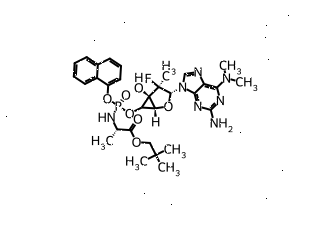 C[C@H](NP(=O)(Oc1cccc2ccccc12)OC1[C@H]2O[C@@H](n3cnc4c(N(C)C)nc(N)nc43)[C@](C)(F)[C@@]12O)C(=O)OCC(C)(C)C